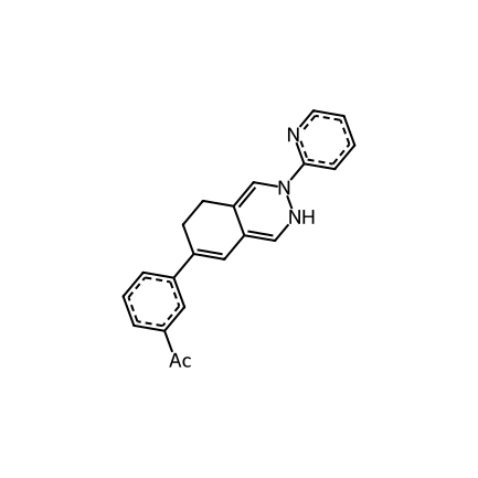 CC(=O)c1cccc(C2=CC3=CNN(c4ccccn4)C=C3CC2)c1